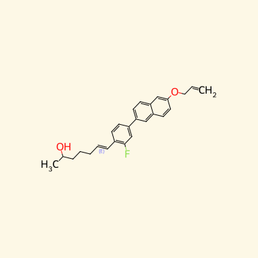 C=CCOc1ccc2cc(-c3ccc(/C=C/CCCC(C)O)c(F)c3)ccc2c1